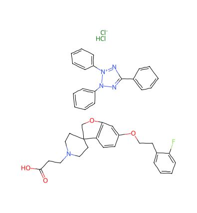 Cl.O=C(O)CCN1CCC2(CC1)COc1cc(OCCc3ccccc3F)ccc12.[Cl-].c1ccc(-c2nn(-c3ccccc3)[n+](-c3ccccc3)n2)cc1